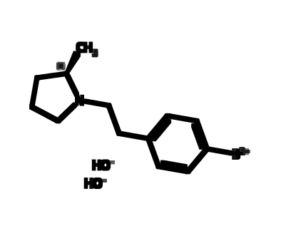 [B+2]c1ccc(CCN2CCC[C@H]2C)cc1.[OH-].[OH-]